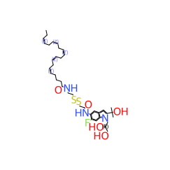 CC/C=C\C/C=C\C/C=C\C/C=C\C/C=C\CCCC(=O)NCCSSCC(=O)Nc1cc2cc(C(C)(C)O)n(C[C@@H](O)CO)c2cc1F